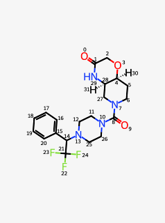 O=C1CO[C@H]2CCN(C(=O)N3CCN(C(c4ccccc4)C(F)(F)F)CC3)C[C@H]2N1